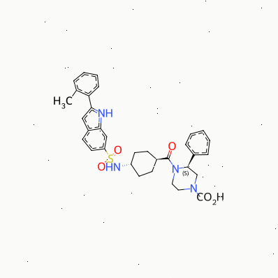 Cc1ccccc1-c1cc2ccc(S(=O)(=O)N[C@H]3CC[C@H](C(=O)N4CCN(C(=O)O)C[C@@H]4c4ccccc4)CC3)cc2[nH]1